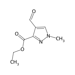 CCOC(=O)c1nn(C)cc1C=O